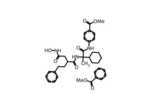 COC(=O)c1ccc(NC(=O)C(C)(NC(=O)C(CCc2ccccc2)CC(=O)NO)C2CCCCC2)cc1.COC(=O)c1ccccc1